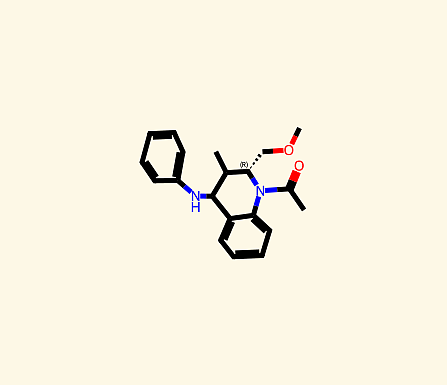 COC[C@H]1C(C)C(Nc2ccccc2)c2ccccc2N1C(C)=O